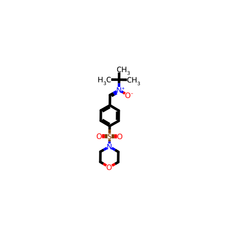 CC(C)(C)[N+]([O-])=Cc1ccc(S(=O)(=O)N2CCOCC2)cc1